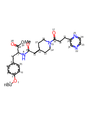 CCCCOc1ccc(CC(NC(=O)CC2CCN(C(=O)CCc3cnccn3)CC2)C(=O)OC)cc1